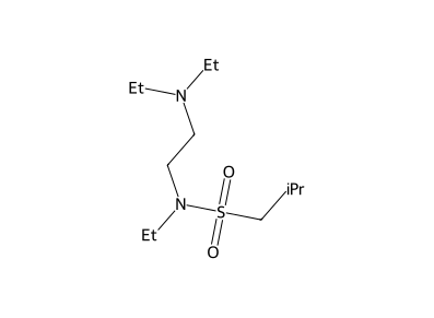 CCN(CC)CCN(CC)S(=O)(=O)CC(C)C